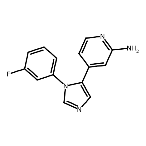 Nc1cc(-c2cncn2-c2cccc(F)c2)ccn1